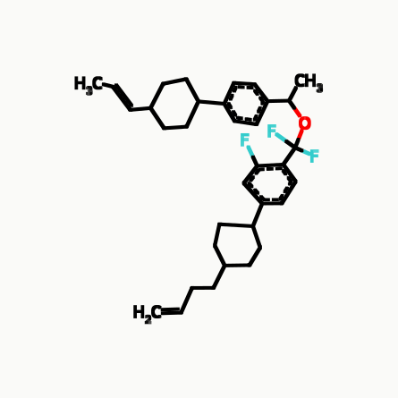 C=CCCC1CCC(c2ccc(C(F)(F)OC(C)c3ccc(C4CCC(/C=C/C)CC4)cc3)c(F)c2)CC1